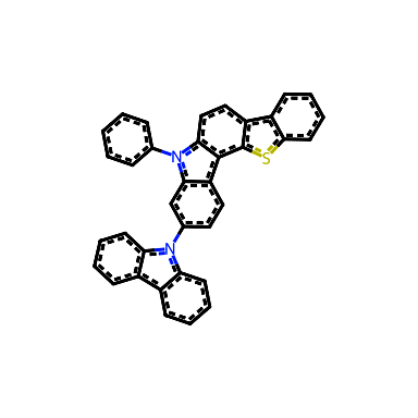 c1ccc(-n2c3cc(-n4c5ccccc5c5ccccc54)ccc3c3c4sc5ccccc5c4ccc32)cc1